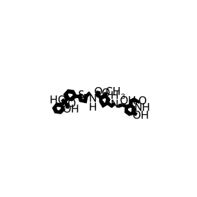 COc1cc(CNCC(O)c2ccc(O)c3[nH]c(=O)ccc23)ccc1C(=O)NCc1ccc(-c2cccc(C(O)(C(=O)O)c3ccccc3)c2)s1